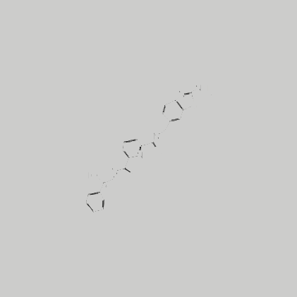 Nc1nc2ccc(CNC(=O)c3cccc(C(=O)NC[C@H](O)c4ccccc4)n3)cc2s1